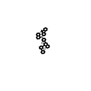 CC1(C)c2ccccc2-c2ccc(N(c3ccc4c(c3)oc3c(-c5cccc6c5oc5ccccc56)c5ccccc5cc34)c3cccc4ccccc34)cc21